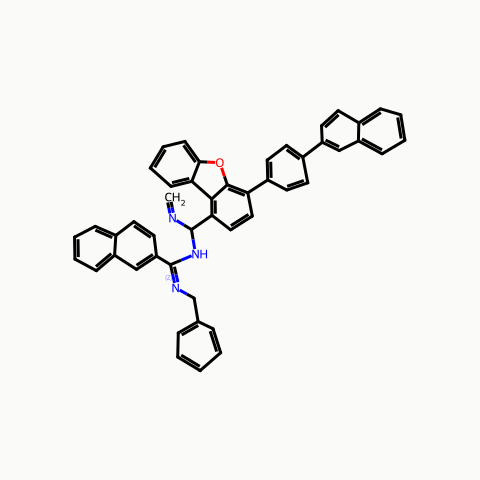 C=NC(N/C(=N\Cc1ccccc1)c1ccc2ccccc2c1)c1ccc(-c2ccc(-c3ccc4ccccc4c3)cc2)c2oc3ccccc3c12